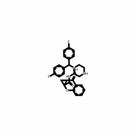 O=C(NC1CNCCN1C(c1ccc(F)cc1)c1ccc(F)cc1)C12CC1C(=NO)c1ccccc1O2